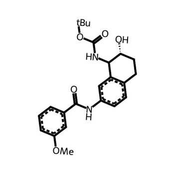 COc1cccc(C(=O)Nc2ccc3c(c2)C(NC(=O)OC(C)(C)C)[C@H](O)CC3)c1